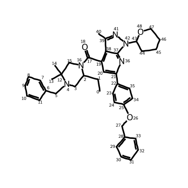 CCC1CN(Cc2ccccc2)C(C)(C)CN1C(=O)c1cc(-c2ccc(OCc3ccccc3)cc2)nc2c1c(C)nn2C1CCCCO1